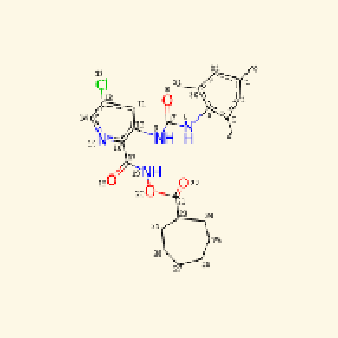 Cc1cc(C)c(NC(=O)Nc2cc(Cl)cnc2C(=O)NOC(=O)C2CCCCCC2)c(C)c1